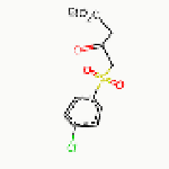 CCOC(=O)CC(=O)CS(=O)(=O)c1ccc(Cl)cc1